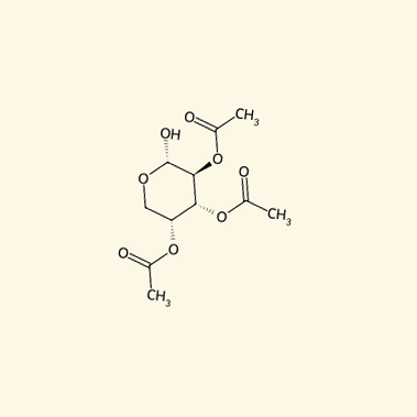 CC(=O)O[C@H]1[C@H](OC(C)=O)[C@H](OC(C)=O)CO[C@@H]1O